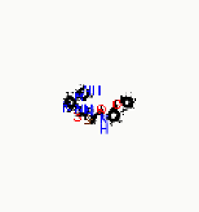 O=C(Nc1cccc(Oc2ccccc2)c1)c1csc(C(=O)Nc2cnccc2N2CCNCC2)n1